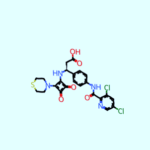 O=C(O)C[C@H](Nc1c(N2CCSCC2)c(=O)c1=O)c1ccc(NC(=O)c2ncc(Cl)cc2Cl)cc1